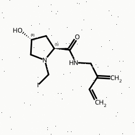 C=CC(=C)CNC(=O)[C@@H]1C[C@@H](O)CN1CI